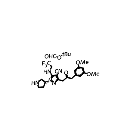 CC(C)(C)OC=O.COc1cc(CC(=O)Cc2nn([C@H]3CCNC3)c(NCC(F)(F)F)c2C#N)cc(OC)c1